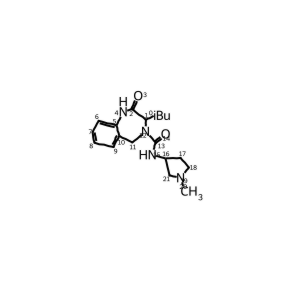 CCC(C)C1C(=O)Nc2ccccc2CN1C(=O)NC1CCN(C)C1